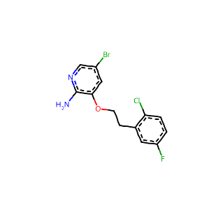 Nc1ncc(Br)cc1OCCc1cc(F)ccc1Cl